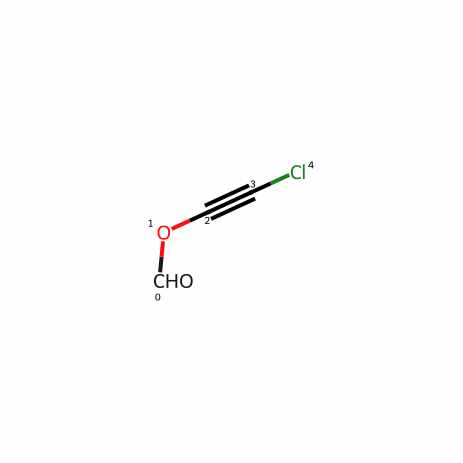 O=COC#CCl